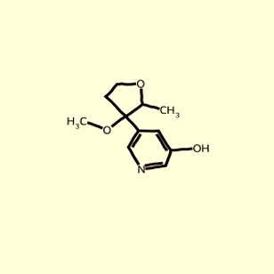 COC1(c2cncc(O)c2)CCOC1C